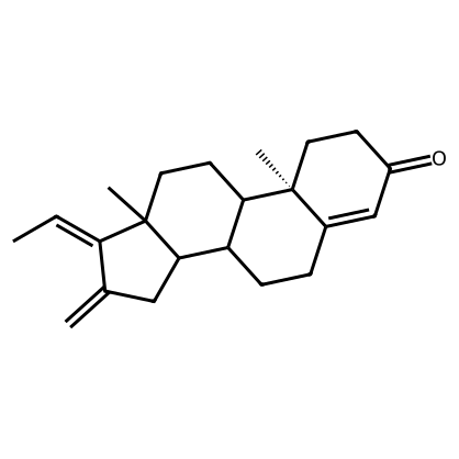 C=C1CC2C3CCC4=CC(=O)CC[C@]4(C)C3CCC2(C)/C1=C/C